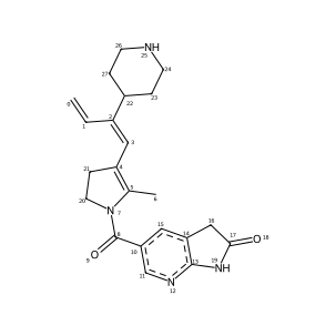 C=C/C(=C\C1=C(C)N(C(=O)c2cnc3c(c2)CC(=O)N3)CC1)C1CCNCC1